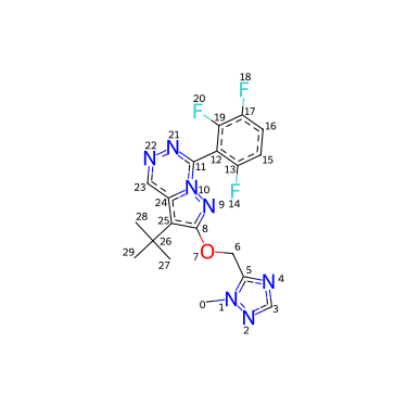 Cn1ncnc1COc1nn2c(-c3c(F)ccc(F)c3F)nncc2c1C(C)(C)C